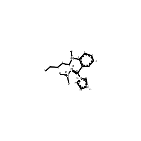 CCCCCN(C)c1ccccc1/C(=N/N(C)C)n1ccnc1